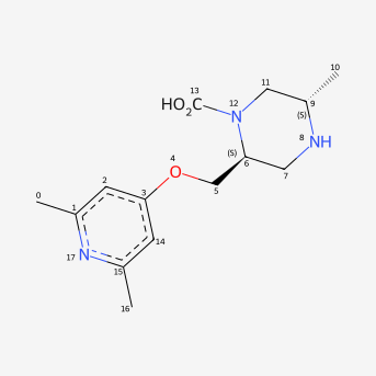 Cc1cc(OC[C@@H]2CN[C@@H](C)CN2C(=O)O)cc(C)n1